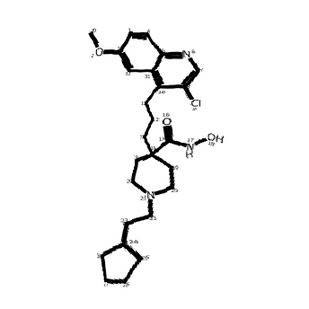 COc1ccc2ncc(Cl)c(CCCC3(C(=O)NO)CCN(CCC4CCCC4)CC3)c2c1